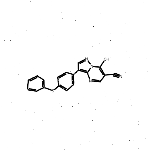 N#Cc1cnc2c(-c3ccc(Sc4ccccc4)cc3)cnn2c1O